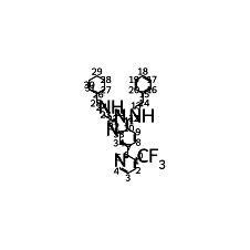 FC(F)(F)c1cccnc1-c1ccc2c(NCCc3ccccc3)nc(CNCC3CCCCC3)nc2c1